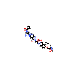 Cc1c(OCc2cnco2)ccc2c1CCN(C[C@@H](O)CNC(=O)c1ccnc(NC3CN(C(=O)C4CCC4)C3)c1)C2